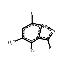 Cc1cc(F)c2[nH]nc(F)c2c1C(C)C